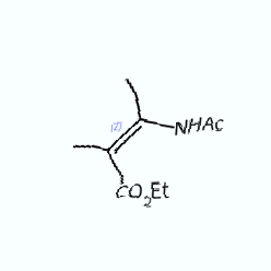 CCOC(=O)/C(C)=C(/C)NC(C)=O